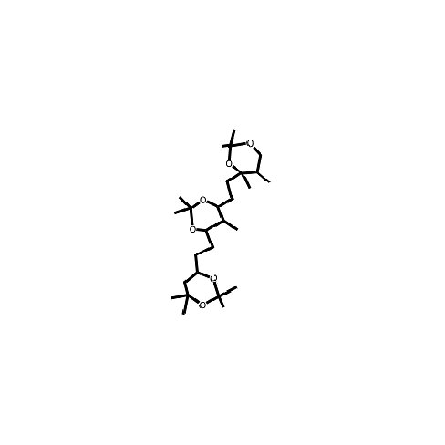 CC1C(CCC2CC(C)(C)OC(C)(C)O2)OC(C)(C)OC1CCC1(C)OC(C)(C)OCC1C